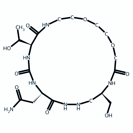 CC(O)[C@@H]1NC(=O)N[C@@H](CC(N)=O)C(=O)NNC[C@H](CO)NC(=O)COCCOCCNC1=O